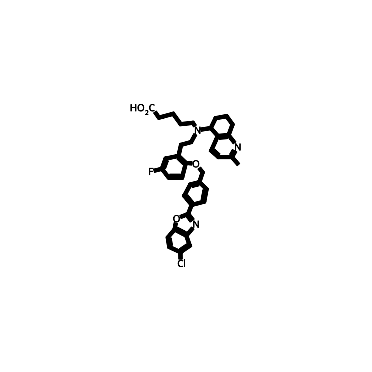 Cc1ccc2c(n1)CCCC2N(CCCCC(=O)O)CCc1cc(F)ccc1OCc1ccc(-c2nc3cc(Cl)ccc3o2)cc1